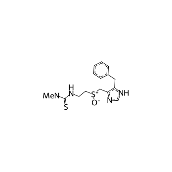 CNC(=S)NCC[S+]([O-])Cc1nc[nH]c1Cc1ccccc1